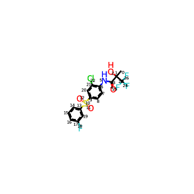 CC(O)(C(=O)Nc1ccc(S(=O)(=O)c2cccc(F)c2)cc1Cl)C(F)(F)F